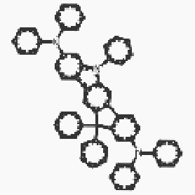 c1ccc(N(c2ccccc2)c2ccc3c(c2)C(c2ccccc2)(c2ccccc2)c2cc4c5ccc(N(c6ccccc6)c6ccccc6)cc5n(-c5ccccc5)c4cc2-3)cc1